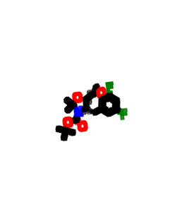 CC(C)(C)OC(=O)N1[C@@H](Cc2cc(F)cc(F)c2)[C@@H]([C@@H]2CO2)OC1(C)C